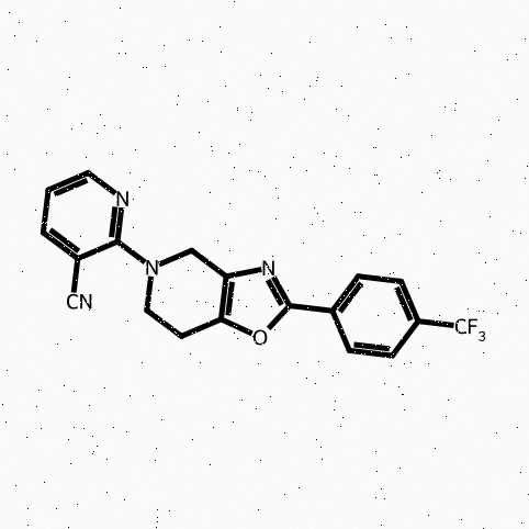 N#Cc1cccnc1N1CCc2oc(-c3ccc(C(F)(F)F)cc3)nc2C1